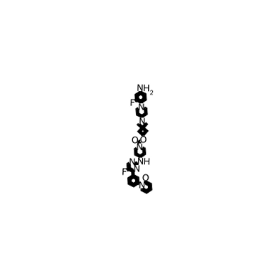 Nc1ccc(N2CCC(N3CC4(CC(OC(=O)N5CCC(Nc6ncc(F)c(-c7cccc(-n8ccccc8=O)c7)n6)CC5)C4)C3)CC2)c(F)c1